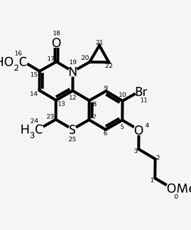 COCCCOc1cc2c(cc1Br)-c1c(cc(C(=O)O)c(=O)n1C1CC1)C(C)S2